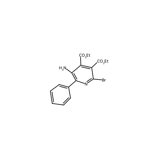 CCOC(=O)c1c(Br)nc(-c2ccccc2)c(N)c1C(=O)OCC